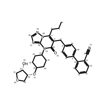 CCCc1c(Cc2ccc(-c3ccccc3C#N)cc2)c(=O)n(C2CCC(O[C@@H]3COC[C@@H]3O)CC2)c2ncnn12